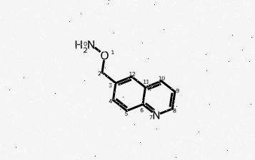 NOCc1ccc2ncccc2c1